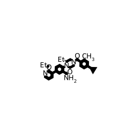 CCOc1ncccc1-c1ccc(N2CCN(C(=O)c3ccc(C4CC4)cc3C)C[C@H]2CC)c(C(N)=O)c1